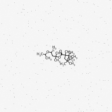 CC(C)OC(C)CC(C)(C)OC(=O)C(C)(CC(C)(C)C)C(C)(C)C